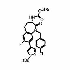 CC(C)(C)OC(=O)N[C@H]1CSc2cc(F)c(-c3cnn(C(C)(C)C)c3)cc2N(Cc2ccc(Cl)cc2)C1=O